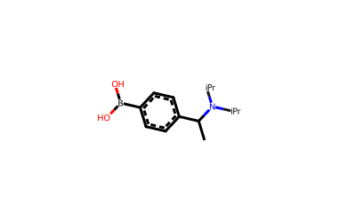 CC(C)N(C(C)C)C(C)c1ccc(B(O)O)cc1